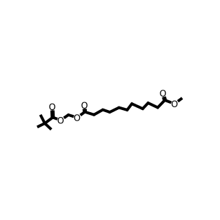 COC(=O)CCCCCCCCCC(=O)OCOC(=O)C(C)(C)C